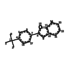 CC(C)(C)c1ccc(-c2cc3ccccc3o2)cc1